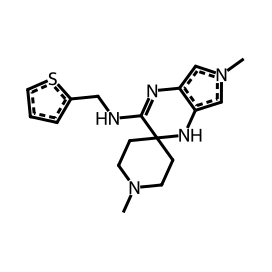 CN1CCC2(CC1)Nc1cn(C)cc1N=C2NCc1cccs1